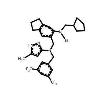 CCN(CC1CCCC1)c1cc2c(cc1CN(Cc1cc(C(F)(F)F)cc(C(F)(F)F)c1)c1cc(C)[nH]n1)CCC2